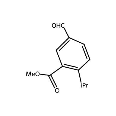 COC(=O)c1cc(C=O)ccc1C(C)C